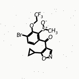 C[S+]([O-])c1c(C(=O)c2cnoc2C2CC2)ccc(Br)c1OCC(F)(F)F